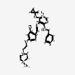 CN1CCN(CCOc2ccc(/C=N/c3c(NCc4ccccc4)ncnc3OC3(C)CC3)c(Cl)c2)CC1